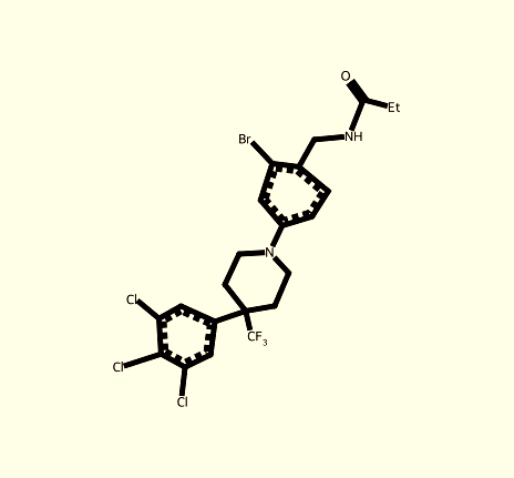 CCC(=O)NCc1ccc(N2CCC(c3cc(Cl)c(Cl)c(Cl)c3)(C(F)(F)F)CC2)cc1Br